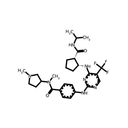 CC(C)NC(=O)[C@H]1CCC[C@H]1Nc1nc(Nc2ccc(C(=O)N(C)C3CCN(C)C3)cc2)ncc1C(F)(F)F